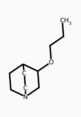 CCCOC1CN2CCC1CC2